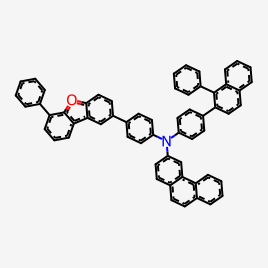 c1ccc(-c2c(-c3ccc(N(c4ccc(-c5ccc6oc7c(-c8ccccc8)cccc7c6c5)cc4)c4ccc5ccc6ccccc6c5c4)cc3)ccc3ccccc23)cc1